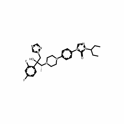 CCC(CC)n1ncn(-c2ccc(N3CCN([C@H](C)[C@@](O)(Cn4cncn4)c4ccc(F)cc4F)CC3)cc2)c1=O